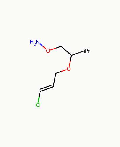 CC(C)C(CON)OCC=CCl